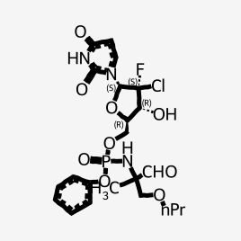 CCCOCC(C)(C=O)NP(=O)(OC[C@H]1O[C@H](n2ccc(=O)[nH]c2=O)[C@@](F)(Cl)[C@@H]1O)Oc1ccccc1